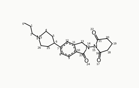 CCCN1CCC(c2ccc3c(c2)CN(N2C(=O)CCCC2=O)C3=O)CC1